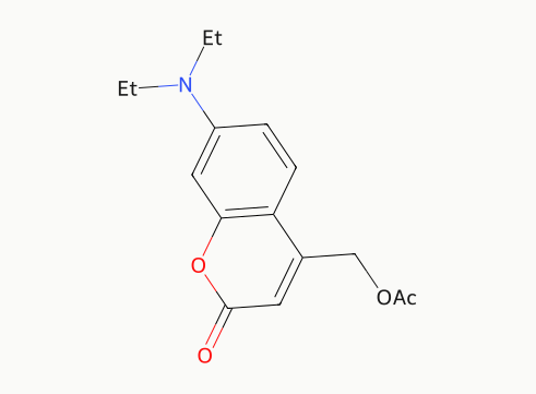 CCN(CC)c1ccc2c(COC(C)=O)cc(=O)oc2c1